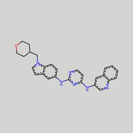 c1ccc2ncc(Nc3ccnc(Nc4ccc5c(ccn5CC5CCOCC5)c4)n3)cc2c1